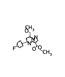 CCOC(=O)c1cnn2c(COC)cc(-c3ccc(F)cc3)nc12